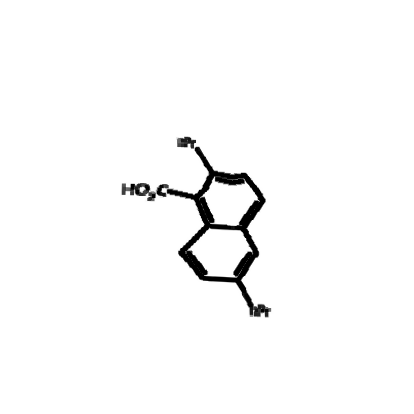 CCCc1ccc2c(C(=O)O)c(CCC)ccc2c1